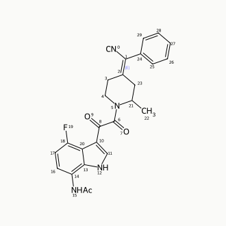 [C-]#[N+]/C(=C1\CCN(C(=O)C(=O)c2c[nH]c3c(NC(C)=O)ccc(F)c23)C(C)C1)c1ccccc1